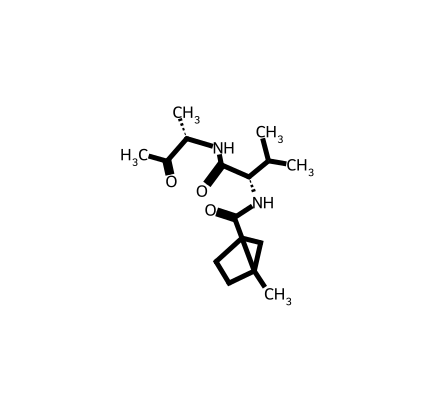 CC(=O)[C@H](C)NC(=O)[C@@H](NC(=O)C12CCC1(C)C2)C(C)C